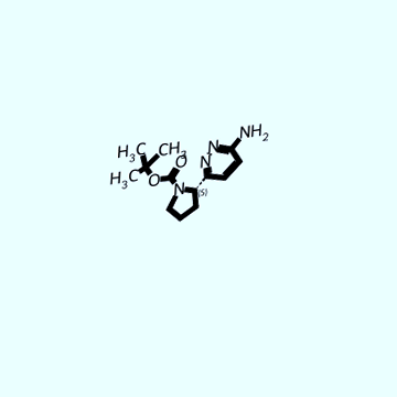 CC(C)(C)OC(=O)N1CCC[C@H]1c1ccc(N)nn1